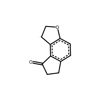 O=C1CCc2ccc3c(c21)[CH]CO3